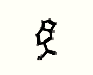 CCC(=O)c1ccc2cccn2c1